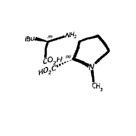 CCC(C)[C@@H](N)C(=O)O.CN1CCC[C@H]1C(=O)O